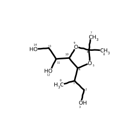 CC(CO)C1OC(C)(C)OC1C(O)CO